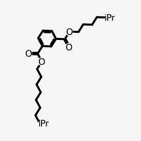 CC(C)CCCCCCCOC(=O)c1cccc(C(=O)OCCCCC(C)C)c1